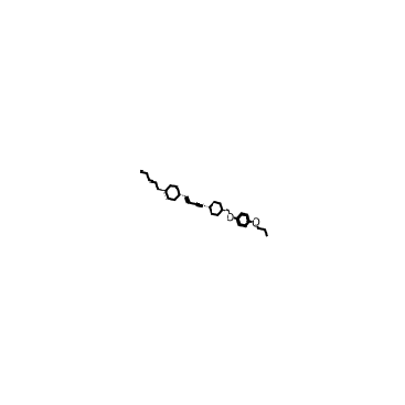 CCCCC[C@H]1CC[C@H](/C=C/C#C[C@H]2CC[C@H](COc3ccc(OCCC)cc3)CC2)CC1